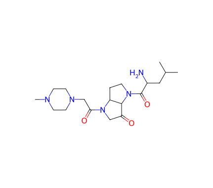 CC(C)CC(N)C(=O)N1CCC2C1C(=O)CN2C(=O)CN1CCN(C)CC1